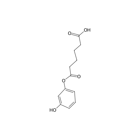 O=C(O)CCCCC(=O)Oc1cccc(O)c1